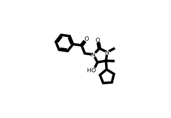 CN1C(=O)N(CC(=O)c2ccccc2)C(O)C1(C)C1CCCC1